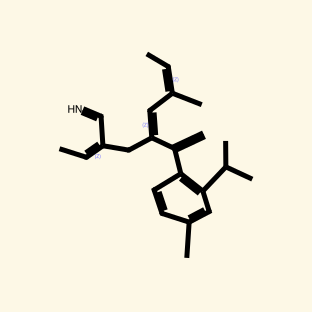 C=C(/C(=C\C(C)=C/C)C/C(C=N)=C/C)c1ccc(C)cc1C(C)C